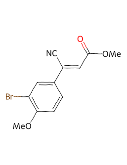 COC(=O)/C=C(\C#N)c1ccc(OC)c(Br)c1